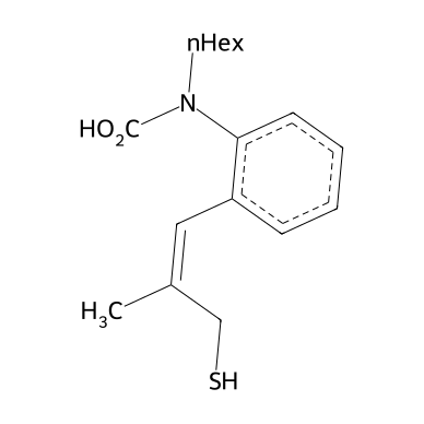 CCCCCCN(C(=O)O)c1ccccc1C=C(C)CS